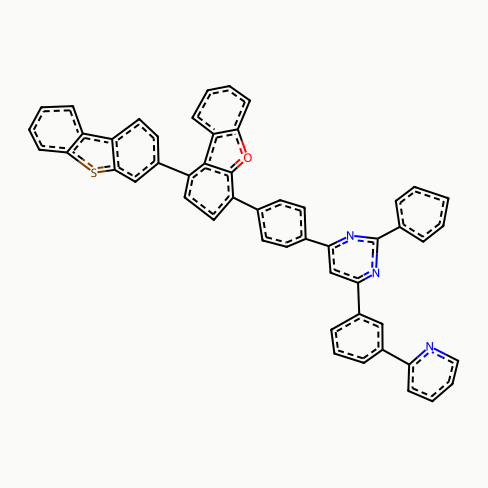 c1ccc(-c2nc(-c3ccc(-c4ccc(-c5ccc6c(c5)sc5ccccc56)c5c4oc4ccccc45)cc3)cc(-c3cccc(-c4ccccn4)c3)n2)cc1